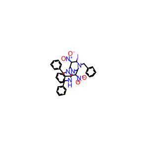 O=[N+]([O-])C1C(I)N(Cc2ccccc2)C2C([N+](=O)[O-])C(NCc3ccccc3)N(Cc3ccccc3)C1N2Cc1ccccc1